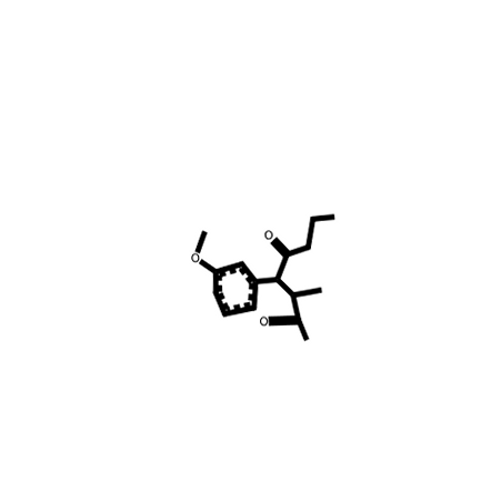 CCCC(=O)C(c1cccc(OC)c1)C(C)C(C)=O